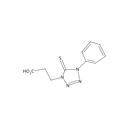 O=C(O)CCn1nnn(-c2ccccc2)c1=S